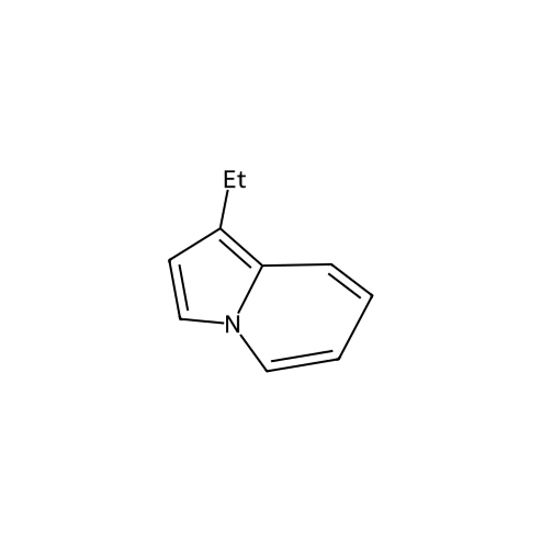 CCc1ccn2ccccc12